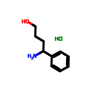 Cl.NC(CCCO)c1ccccc1